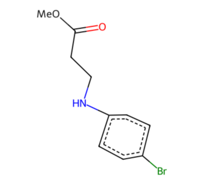 COC(=O)CCNc1ccc(Br)cc1